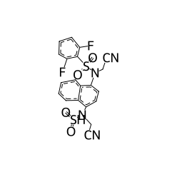 N#CCN(c1ccc(N(CC#N)S(=O)(=O)c2c(F)cccc2F)c2ccccc12)[SH](=O)=O